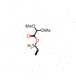 C=C[SiH2]OC(=O)C(OC)OC